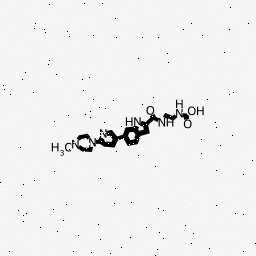 CN1CCN(c2ccc(-c3ccc4cc(C(=O)NCCNC(=O)O)[nH]c4c3)cn2)CC1